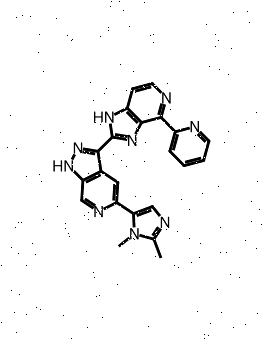 Cc1ncc(-c2cc3c(-c4nc5c(-c6ccccn6)nccc5[nH]4)n[nH]c3cn2)n1C